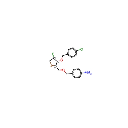 Nc1ccc(COC[C@H]2SC[C@@H](F)[C@@H]2OCc2ccc(Cl)cc2)cc1